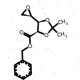 CC1(C)O[C@H]([C@H]2CO2)[C@H](C(=O)OCc2ccccc2)O1